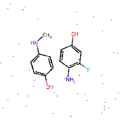 CNc1ccc(O)cc1.Nc1ccc(O)cc1F